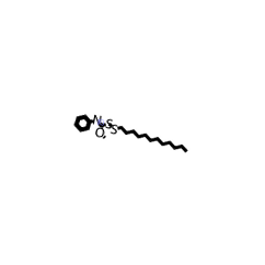 CCCCCCCCCCCCSS/C(=N/c1ccccc1)OC